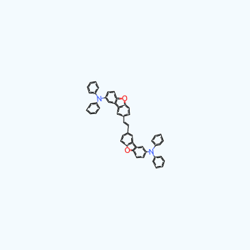 C(=C\c1ccc2oc3ccc(N(c4ccccc4)c4ccccc4)cc3c2c1)/c1ccc2oc3ccc(N(c4ccccc4)c4ccccc4)cc3c2c1